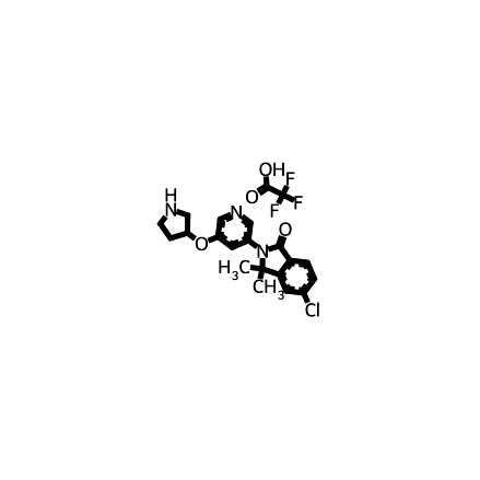 CC1(C)c2cc(Cl)ccc2C(=O)N1c1cncc(OC2CCNC2)c1.O=C(O)C(F)(F)F